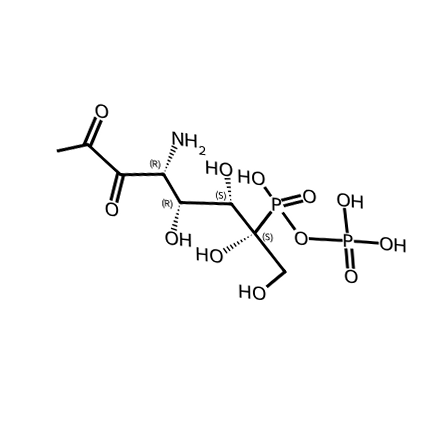 CC(=O)C(=O)[C@H](N)[C@@H](O)[C@H](O)[C@](O)(CO)P(=O)(O)OP(=O)(O)O